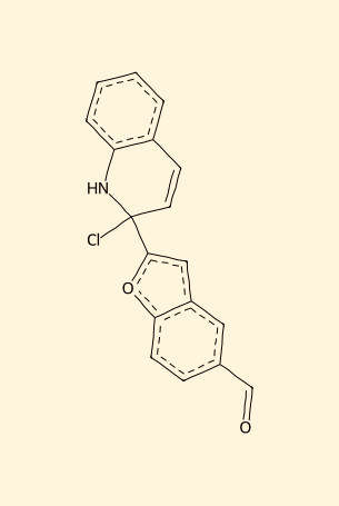 O=Cc1ccc2oc(C3(Cl)C=Cc4ccccc4N3)cc2c1